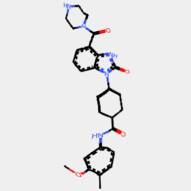 COc1cc(NC(=O)C2CCC(n3c(=O)[nH]c4c(C(=O)N5CCNCC5)cccc43)CC2)ccc1C